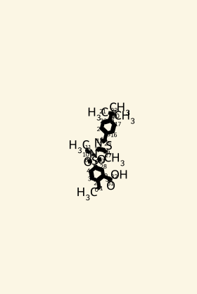 CCc1ccc(S(=O)(=O)N(CC)c2nc(-c3ccc(C(C)(C)C)cc3)sc2C)cc1C(=O)O